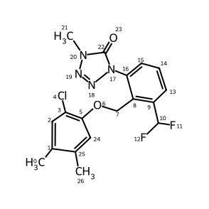 Cc1cc(Cl)c(OCc2c(C(F)F)cccc2-n2nnn(C)c2=O)cc1C